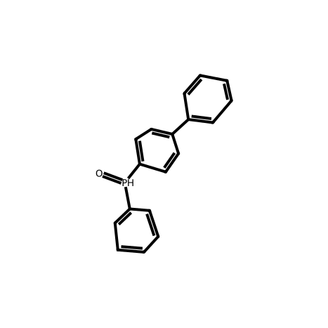 O=[PH](c1ccccc1)c1ccc(-c2ccccc2)cc1